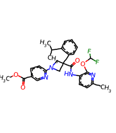 COC(=O)c1ccc(N2CC(C(=O)Nc3ccc(C)nc3OC(F)F)(c3ccccc3C(C)C)C2)nc1